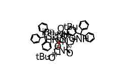 CC[C@H](C)[C@H](NC(=O)[C@@H]1C[C@@H](OC(C)(C)C)CN1C(=O)[C@H](CC(=O)NC(c1ccccc1)(c1ccccc1)c1ccccc1)NC(=O)[C@@H](N)CSC(c1ccccc1)(c1ccccc1)c1ccccc1)C(=O)OC(C)(C)C